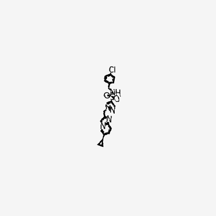 O=S(=O)(NCc1ccc(Cl)cc1)c1cnn(Cc2cn3cc(C4CC4)ccc3n2)c1